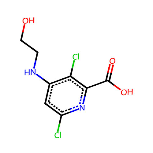 O=C(O)c1nc(Cl)cc(NCCO)c1Cl